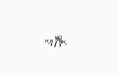 CN.CN.CN.Cl